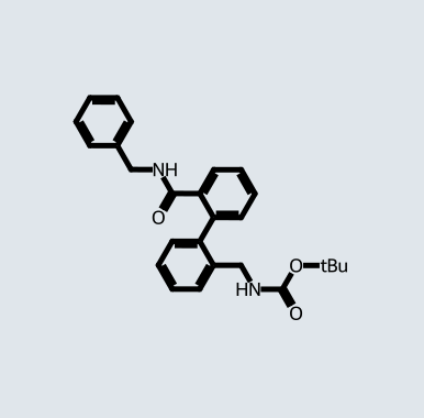 CC(C)(C)OC(=O)NCc1ccccc1-c1ccccc1C(=O)NCc1ccccc1